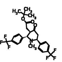 CN1[C@H](c2ccc(C(F)(F)F)cc2)[C@@H](CC(=O)OC(C)(C)C)C(=O)C[C@H]1c1ccc(C(F)(F)F)cc1